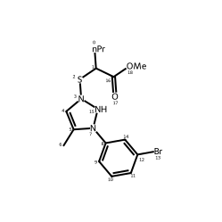 CCCC(SN1C=C(C)N(c2cccc(Br)c2)N1)C(=O)OC